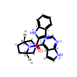 O=C(c1cc2ccccc2[nH]1)N1[C@@H]2CC[C@H]1CN(c1ncnc3[nH]ccc13)C2